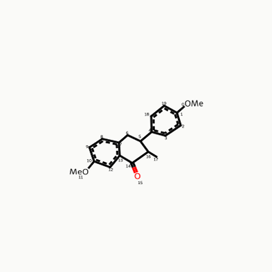 COc1ccc(C2Cc3ccc(OC)cc3C(=O)C2C)cc1